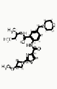 CC[C@@H](C)NC(=O)c1cc(CN2CCOCC2)ccc1NC(=O)c1csc(N2CC(OC)C2)n1